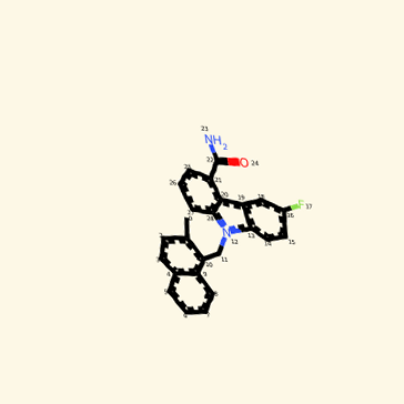 Cc1ccc2ccccc2c1Cn1c2ccc(F)[c]c2c2c(C(N)=O)cccc21